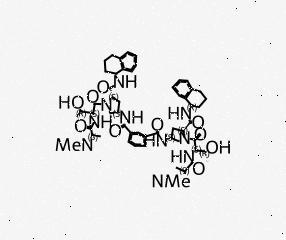 CN[C@@H](C)C(=O)N[C@H](C(=O)N1C[C@@H](NC(=O)c2cccc(C(=O)N[C@H]3C[C@@H](C(=O)N[C@@H]4CCCc5ccccc54)N(C(=O)[C@@H](NC(=O)[C@H](C)NC)[C@@H](C)O)C3)c2)C[C@H]1C(=O)NC1CCCc2ccccc21)[C@@H](C)O